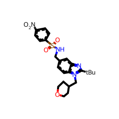 CC(C)(C)c1nc2cc(CNS(=O)(=O)c3ccc([N+](=O)[O-])cc3)ccc2n1CC1CCOCC1